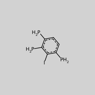 Pc1ccc(P)c(I)c1P